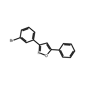 Brc1cccc(-c2cc(-c3ccccc3)on2)c1